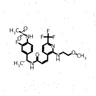 COCCNc1nc(C(F)(F)F)ccc1/C=C\C(=O)N[C@H](C)c1ccc(NS(C)(=O)=O)c(F)c1